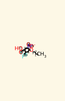 CCCCOc1cc(C(F)(F)F)c(C(=O)O)cc1[N+](=O)[O-]